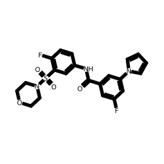 O=C(Nc1ccc(F)c(S(=O)(=O)N2CCOCC2)c1)c1cc(F)cc(-n2cccc2)c1